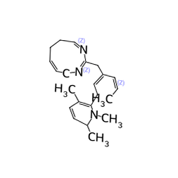 C/C=C\C(=CCC1=C(C)C=CC(C)N1C)CC1=N/CC=CCC/C=N\1